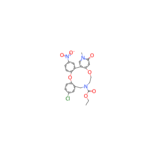 CCOC(=O)N1CCOc2cc(=O)n(C)cc2-c2cc([N+](=O)[O-])ccc2Oc2ccc(Cl)cc2C1